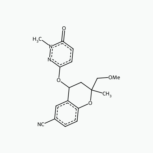 COCC1(C)CC(Oc2ccc(=O)n(C)n2)c2cc(C#N)ccc2O1